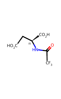 O=C(O)C[C@H](NC(=O)C(F)(F)F)C(=O)O